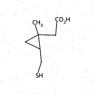 CC1(CC(=O)O)CC1CS